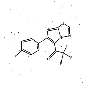 O=C(c1c(-c2ccc(F)cc2)nc2scnn12)C(F)(F)F